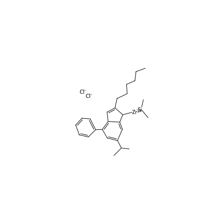 CCCCCCC1=Cc2c(-c3ccccc3)cc(C(C)C)cc2[CH]1[Zr+2][Si](C)C.[Cl-].[Cl-]